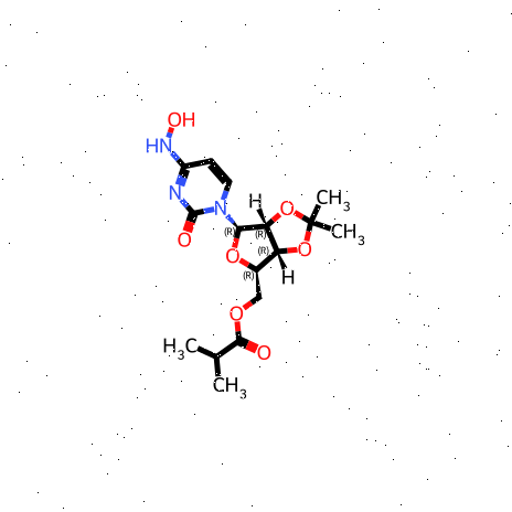 CC(C)C(=O)OC[C@H]1O[C@@H](n2ccc(NO)nc2=O)[C@@H]2OC(C)(C)O[C@@H]21